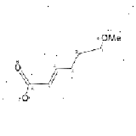 COCCCC=CC([O])=O